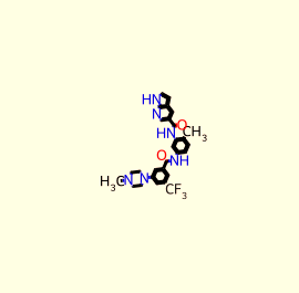 Cc1ccc(NC(=O)c2cc(N3CCN(C)CC3)cc(C(F)(F)F)c2)cc1NC(=O)c1cnc2[nH]ccc2c1